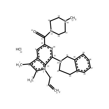 C=CCn1c(C)c(C)c2cc(C(=O)N3CCN(C)CC3)nc(N3CCc4ccccc4C3)c21.Cl